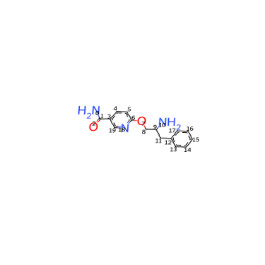 NC(=O)c1ccc(OCC(N)Cc2ccccc2)nc1